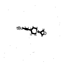 CC(C)(C)C#CC1CCN(C2COC2)CC1